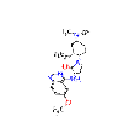 CCC[C@H]1C[C@H](N(C)C(C)C)CC[C@@H]1N1CC[C@H](Nc2ncnc3ccc(OC(F)(F)F)cc23)C1=O